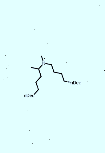 CCCCCCCCCCCCCCN(C)C(C)CCCCCCCCCCCCC